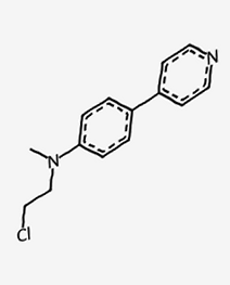 CN(CCCl)c1ccc(-c2ccncc2)cc1